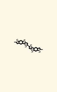 Cc1cc2cc3c(cc2s1)sc1cc(-c2cc4sc5cc6sc(C)cc6cc5c4s2)sc13